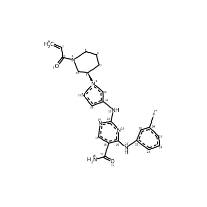 C=CC(=O)N1CCC[C@@H](n2cc(Nc3ncc(C(N)=O)c(Nc4cccc(F)c4)n3)cn2)C1